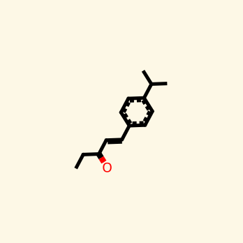 CCC(=O)C=Cc1ccc(C(C)C)cc1